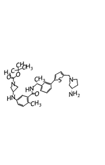 Cc1ccc(NC2CN(C(=O)OC(C)(C)C)C2)cc1C(=O)N[C@H](C)c1cccc(-c2ccc(CN3CC[C@H](N)C3)s2)c1